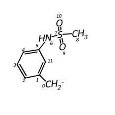 [CH2]c1cccc(NS(C)(=O)=O)c1